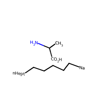 CC(N)C(=O)O.CCCCCCCCCCC[CH2][Na]